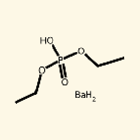 CCOP(=O)(O)OCC.[BaH2]